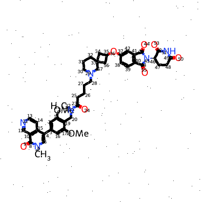 COc1cc(-c2cn(C)c(=O)c3cnccc23)cc(OC)c1CN(C)C(=O)CCCCN1CCCC2(CC(Oc3ccc4c(c3)C(=O)N([C@H]3CCC(=O)NC3=O)C4=O)C2)C1